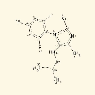 Cc1nc(Cl)n(-c2c(F)cc(F)cc2F)c1NCC(C)C